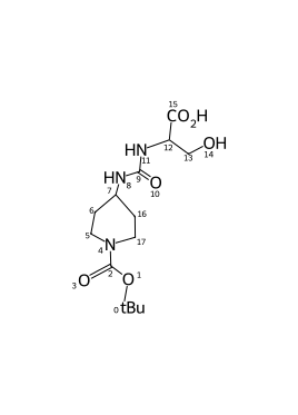 CC(C)(C)OC(=O)N1CCC(NC(=O)NC(CO)C(=O)O)CC1